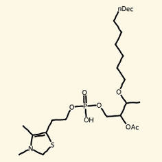 CCCCCCCCCCCCCCCCOC(C)C(COP(=O)(O)OCCC1=C(C)N(C)CS1)OC(C)=O